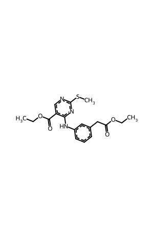 CCOC(=O)Cc1cccc(Nc2nc(SC)ncc2C(=O)OCC)c1